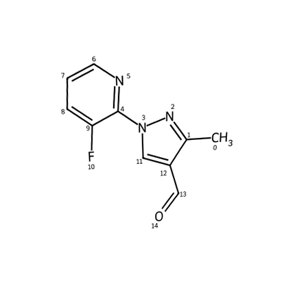 Cc1nn(-c2ncccc2F)cc1C=O